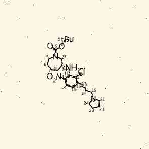 CC(C)(C)OC(=O)N1CCCC[C@@H](Nc2c([N+](=O)[O-])ccc(OCCN3CCCC3)c2Cl)C1